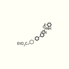 CCOC(=O)C[C@H]1CC[C@H](c2ccc(-c3ccc4nc(C(=O)Nc5ccccc5F)cn4c3)cc2)CC1